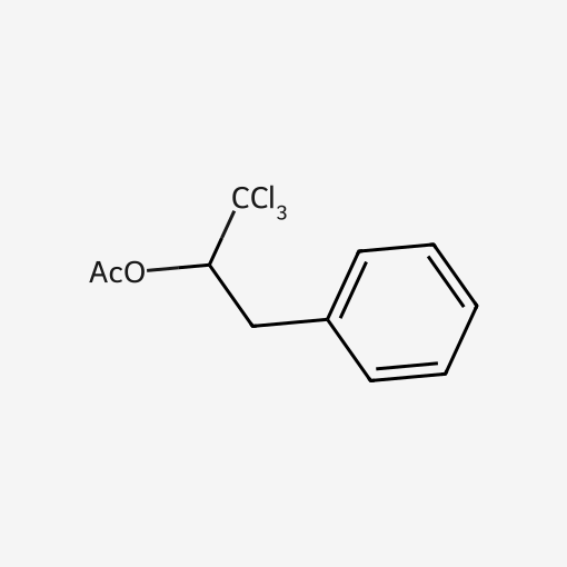 CC(=O)OC(Cc1ccccc1)C(Cl)(Cl)Cl